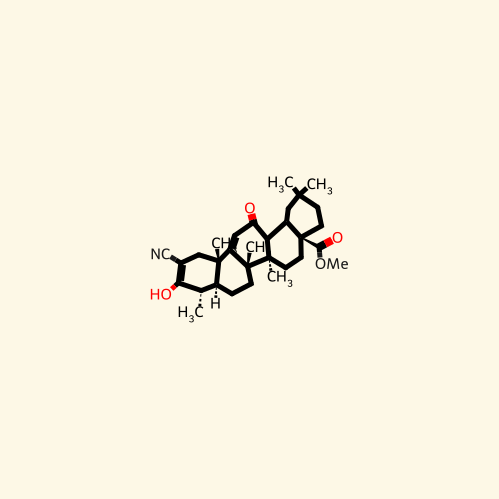 COC(=O)[C@]12CCC(C)(C)CC1C1C(=O)C=C3[C@@]4(C)CC(C#N)=C(O)[C@@H](C)[C@@H]4CC[C@@]3(C)[C@]1(C)CC2